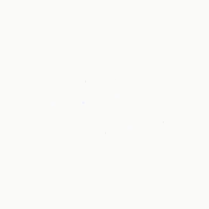 C\C=C(C)/C=C(C)\C=C(C)\C=C/CC